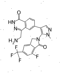 Cn1ncc(-c2ccc3c(=O)[nH]nc(CN)c3c2)c1N1Cc2cc(C(F)(F)F)cc(F)c2C1=O